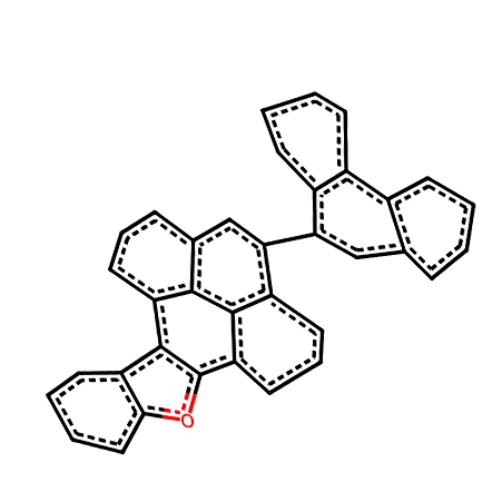 c1ccc2c(c1)cc(-c1cc3cccc4c5c6ccccc6oc5c5cccc1c5c34)c1ccccc12